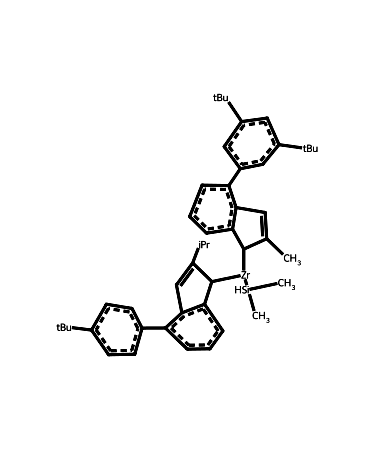 CC1=Cc2c(-c3cc(C(C)(C)C)cc(C(C)(C)C)c3)cccc2[CH]1[Zr]([CH]1C(C(C)C)=Cc2c(-c3ccc(C(C)(C)C)cc3)cccc21)[SiH](C)C